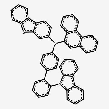 c1ccc(-n2c3ccccc3c3ccccc32)c(-c2ccc(N(c3ccc4c(c3)sc3ccccc34)c3cc4ccccc4c4ccccc34)cc2)c1